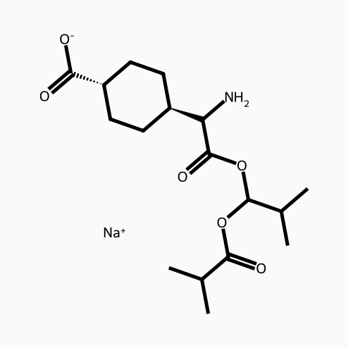 CC(C)C(=O)OC(OC(=O)C(N)[C@H]1CC[C@H](C(=O)[O-])CC1)C(C)C.[Na+]